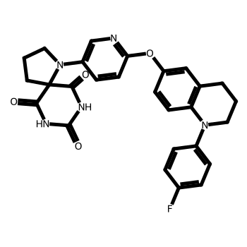 O=C1NC(=O)C2(CCCN2c2ccc(Oc3ccc4c(c3)CCCN4c3ccc(F)cc3)nc2)C(=O)N1